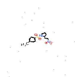 Cc1ccc(S(=O)(=O)n2cccc2C=C[N+](=O)[O-])cc1